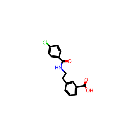 O=C(O)c1cccc(CCNC(=O)c2ccc(Cl)cc2)c1